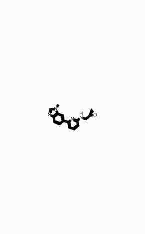 Cn1cnc2ccc(-c3cccc(NCC4CO4)n3)cc21